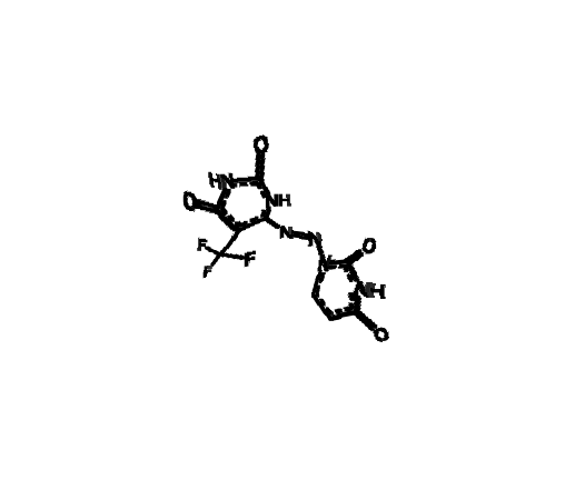 O=c1ccn(N=Nc2[nH]c(=O)[nH]c(=O)c2C(F)(F)F)c(=O)[nH]1